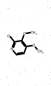 COc1ccnc(Cl)c1OC